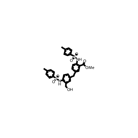 COC(=O)c1cc(Cc2ccc(NS(=O)(=O)c3ccc(C)cc3)c(CO)c2)ccc1NS(=O)(=O)c1ccc(C)cc1